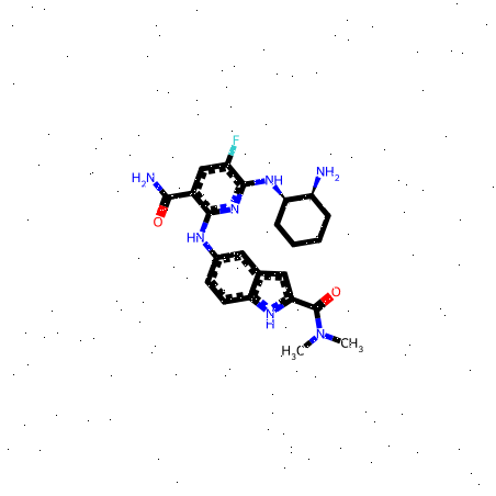 CN(C)C(=O)c1cc2cc(Nc3nc(N[C@@H]4CCCC[C@@H]4N)c(F)cc3C(N)=O)ccc2[nH]1